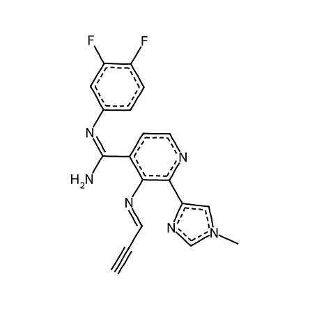 C#C/C=N/c1c(/C(N)=N\c2ccc(F)c(F)c2)ccnc1-c1cn(C)cn1